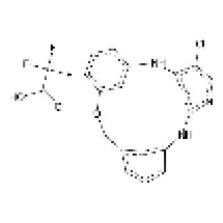 Clc1cnc2nc1Nc1cccc(c1)OCc1cccc(c1)N2.O=C(O)C(F)(F)F